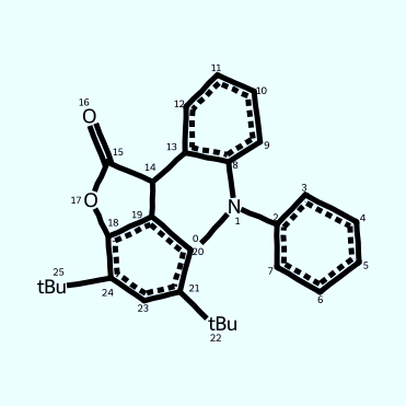 CN(c1ccccc1)c1ccccc1C1C(=O)Oc2c1cc(C(C)(C)C)cc2C(C)(C)C